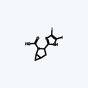 O=C(O)N1C(c2nc(I)c(I)[nH]2)CC2CC21